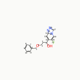 OC(CCOCc1ccccc1)c1cc2nncn2cc1F